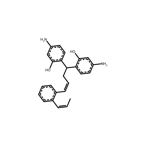 C/C=C\c1ccccc1/C=C\CC(c1ccc(N)cc1O)c1ccc(N)cc1O